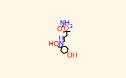 CC(C)(CCCNC1(CO)CCC(O)CC1)OC(N)=O